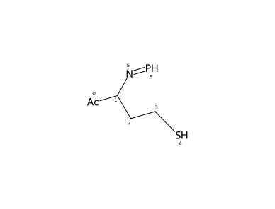 CC(=O)C(CCS)N=P